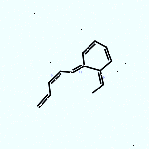 C=C\C=C/C=c1\cccc\c1=C\C